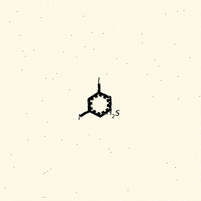 Ic1cccc(I)c1.S